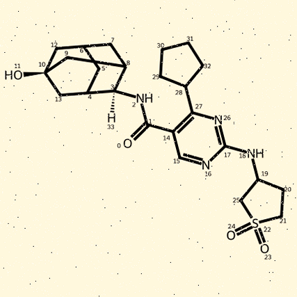 O=C(N[C@H]1C2CC3CC1C[C@@](O)(C3)C2)c1cnc(NC2CCS(=O)(=O)C2)nc1C1CCCC1